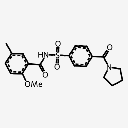 COc1ccc(C)cc1C(=O)NS(=O)(=O)c1ccc(C(=O)N2CCCC2)cc1